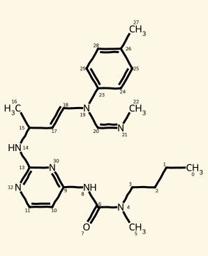 CCCCN(C)C(=O)Nc1ccnc(NC(C)/C=C/N(/C=N\C)c2ccc(C)cc2)n1